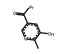 Cc1ncc(C(=O)C(C)C)cc1O